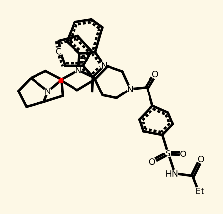 CCC(=O)NS(=O)(=O)c1ccc(C(=O)N2CCC(CCN3C4CCC3CC(n3c(C)nc5ccccc53)C4)(c3ccccc3)CC2)cc1